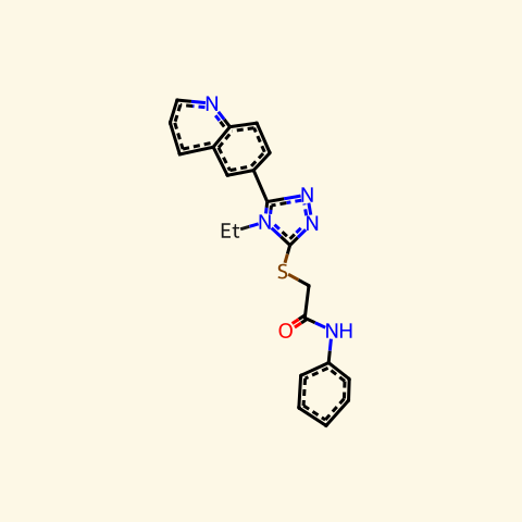 CCn1c(SCC(=O)Nc2ccccc2)nnc1-c1ccc2ncccc2c1